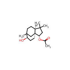 CC(=O)O[C@H]1CC(C)(C)[C@@H]2CC[C@]3(C)C[C@]12CC[C@H]3O